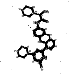 CC(C(=O)Nc1ccc2c(c1)Sc1cccc(-c3cc(N4CCOCC4)cc(=O)[nH]3)c1S2)N1CCOCC1